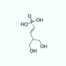 O=P(O)(O)/C=C/C(CO)CO